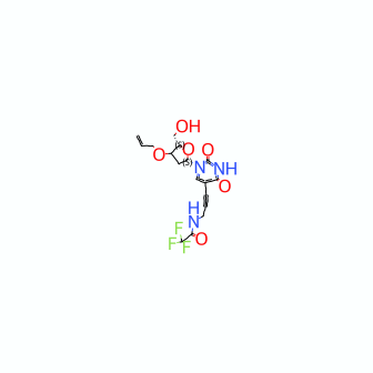 C=CCOC1C[C@@H](n2cc(C#CCNC(=O)C(F)(F)F)c(=O)[nH]c2=O)O[C@H]1CO